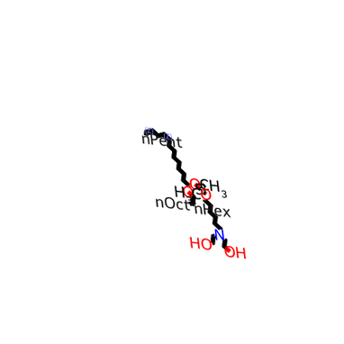 CCCCC/C=C\C/C=C\CCCCCCCC(OCC(CCCCCC)CCCCCCCC)O[Si](C)(C)OCCCCCCN(CCO)CCO